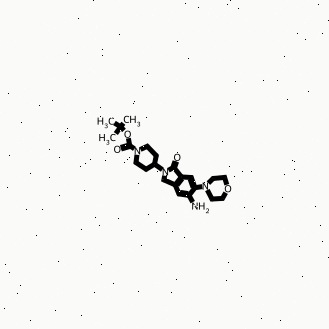 CC(C)(C)OC(=O)N1CCC(N2Cc3cc(N)c(N4CCOCC4)cc3C2=O)CC1